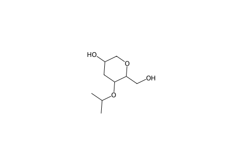 CC(C)OC1CC(O)COC1CO